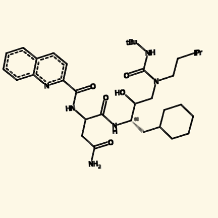 CC(C)CCN(CC(O)[C@H](CC1CCCCC1)NC(=O)C(CC(N)=O)NC(=O)c1ccc2ccccc2n1)C(=O)NC(C)(C)C